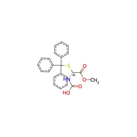 COC(=O)[C@H](NC(=O)O)SC(c1ccccc1)(c1ccccc1)c1ccccc1